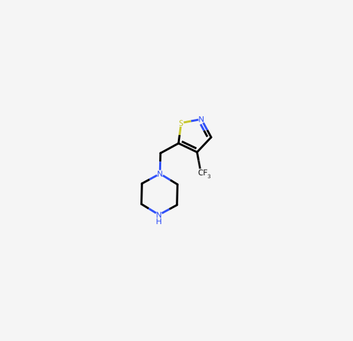 FC(F)(F)c1cnsc1CN1CCNCC1